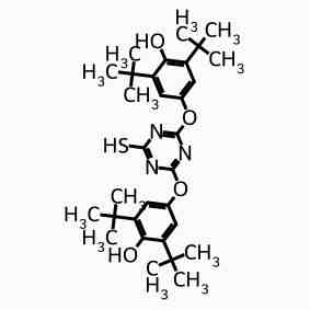 CC(C)(C)c1cc(Oc2nc(S)nc(Oc3cc(C(C)(C)C)c(O)c(C(C)(C)C)c3)n2)cc(C(C)(C)C)c1O